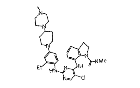 C=C(NC)N1CCc2cccc(Nc3nc(Nc4ccc(N5CCC(N6CCN(C)CC6)CC5)cc4CC)ncc3Cl)c21